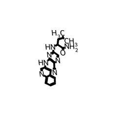 CC(C)CC(Nc1cnc(C#N)c(Nc2cnc3ccccc3c2)n1)C(N)=O